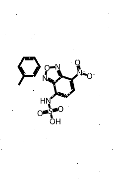 Cc1ccccc1.O=[N+]([O-])c1ccc(NS(=O)(=O)O)c2nonc12